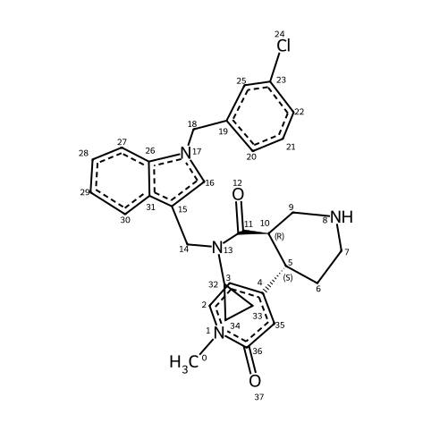 Cn1ccc([C@H]2CCNC[C@@H]2C(=O)N(Cc2cn(Cc3cccc(Cl)c3)c3ccccc23)C2CC2)cc1=O